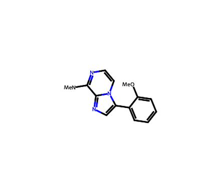 CNc1nccn2c(-c3ccccc3OC)cnc12